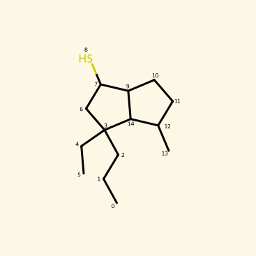 CCCC1(CC)CC(S)C2CCC(C)C21